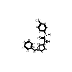 S=C(Nc1ccc(Cl)cc1)NC1CCN(Cc2ccccc2)C1